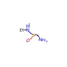 CCN[S+]([O-])CN